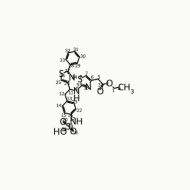 CCOC(=O)Cc1csc(NC(Cc2ccc(NS(=O)(=O)O)cc2)c2csc(-c3ccccc3)n2)n1